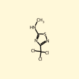 CNc1nc(C(Cl)(Cl)Cl)ns1